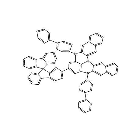 c1ccc(-c2ccc(N3c4cc5ccccc5cc4B4c5cc6ccccc6cc5N(c5ccc(-c6ccccc6)cc5)c5cc(-c6ccc7c(c6)C6(c8ccccc8-c8ccccc86)c6ccccc6-7)cc3c54)cc2)cc1